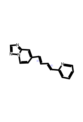 C(/C=C/c1ccccn1)=C\c1ccn2ncnc2c1